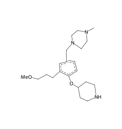 COCCCc1cc(CN2CCN(C)CC2)ccc1OC1CCNCC1